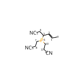 C/C=C/C(CC#N)P(CCC#N)CCC#N